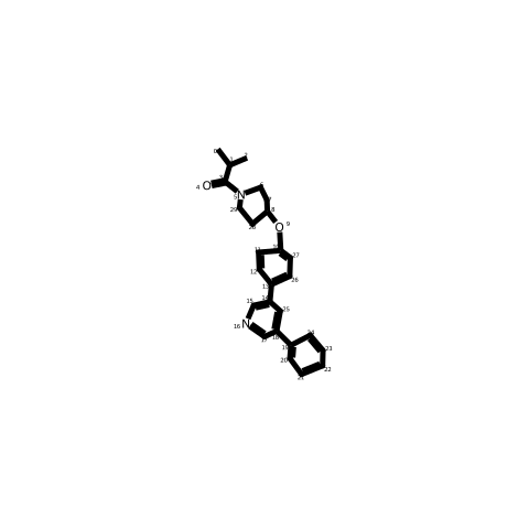 CC(C)C(=O)N1CCC(Oc2ccc(-c3cncc(-c4ccccc4)c3)cc2)CC1